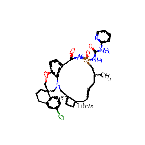 CO[C@H]1/C=C/C[C@H](C)CS(=O)(NC(=O)Nc2ccccn2)=NC(=O)c2ccc3c(c2)N(C[C@@H]2CC[C@H]21)C[C@@]1(CCCc2cc(Cl)ccc21)CO3